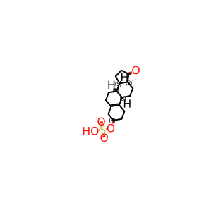 C[C@]12CC[C@@H]3C4=C(CC[C@H]3[C@@H]1CCC2=O)C[C@H](OS(=O)(=O)O)CC4